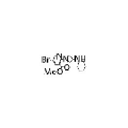 COC(=O)c1cc(Br)cnc1N1CC(NC2CCCCC2)C1